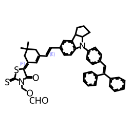 CC1(C)CC(/C=C/c2ccc3c(c2)C2CCCC2N3c2ccc(C=C(c3ccccc3)c3ccccc3)cc2)=CC(=C2/SC(=S)N(COC=O)C2=O)/C1